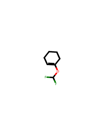 FC(F)OC1=CCCCC1